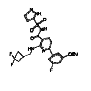 CC(C)COc1cc(F)cc(-c2ccc(C(=O)NS(=O)(=O)c3ccn[nH]3)c(NCC3CC(F)(F)C3)n2)c1